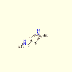 CCNCC1CC2CC(C1)C(CC)N2